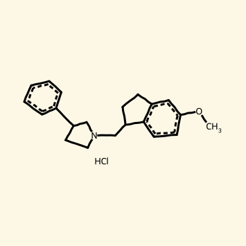 COc1ccc2c(c1)CCC2CN1CCC(c2ccccc2)C1.Cl